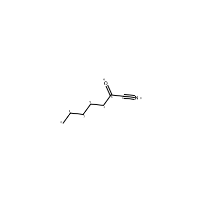 CCCCCC(=O)C#N